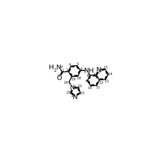 NC(=O)c1ccc(Nc2cccc3cccnc23)cc1Cn1ccnc1